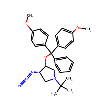 COc1ccc(C(O[C@H]2CN(C(C)(C)C)C[C@H]2N=[N+]=[N-])(c2ccccc2)c2ccc(OC)cc2)cc1